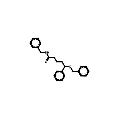 O=C(CCCC(OCc1ccccc1)c1ccccc1)NCc1ccccc1